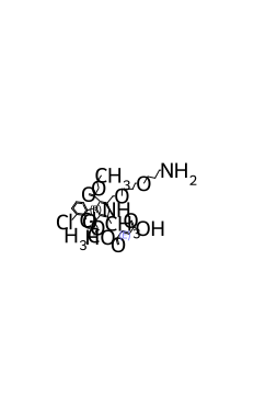 CCOC(=O)C1=C(COCCCOCCCN)NC(C)=C(C(=O)OC)[C@H]1c1cccc(Cl)c1Cl.O=C(O)/C=C/C(=O)O